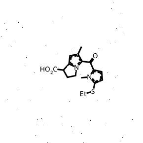 CCSc1ccc(C(=O)c2c(C)cc3n2CCC3C(=O)O)n1C